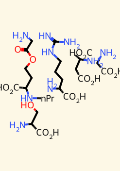 CCCNC(CCOC(=O)CN)C(=O)O.N=C(N)NCCCC(N)C(=O)O.NC(CC(=O)O)C(=O)O.NC(CO)C(=O)O.NCC(=O)O